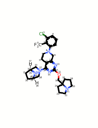 FC(F)(F)c1c(Cl)cccc1N1CCc2c(nc(OCC34CCCN3CCC4)nc2N2C[C@H]3CC[C@@H](C2)N3)C1